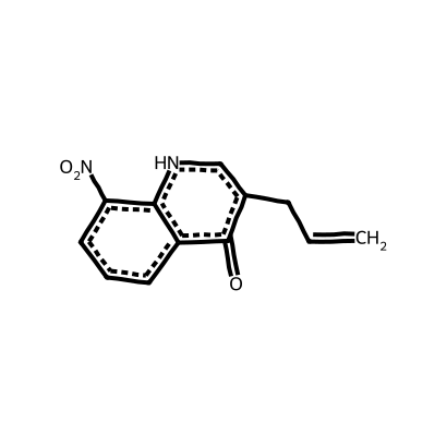 C=CCc1c[nH]c2c([N+](=O)[O-])cccc2c1=O